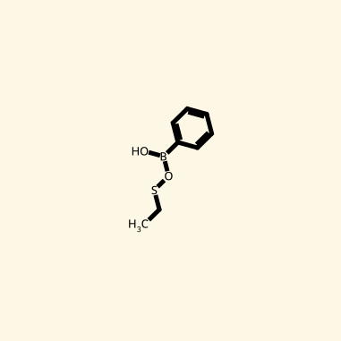 CCSOB(O)c1ccccc1